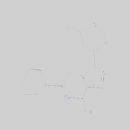 CC(NC(=O)C1CCOCC1)c1nc(-c2ccnc(C(F)(F)F)c2)no1